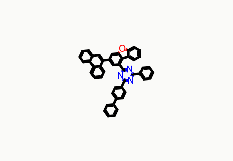 c1ccc(-c2ccc(-c3nc(-c4ccccc4)nc(-c4cc(-c5cc6ccccc6c6ccccc56)cc5oc6ccccc6c45)n3)cc2)cc1